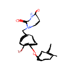 Cc1ccc(Oc2ccc(Cn3ccc(=O)[nH]c3=O)cc2Br)cc1C